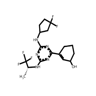 C[C@@H](Nc1nc(NC2CCC(F)(F)C2)nc(C2=CC(O)CCC2)n1)C(F)(F)F